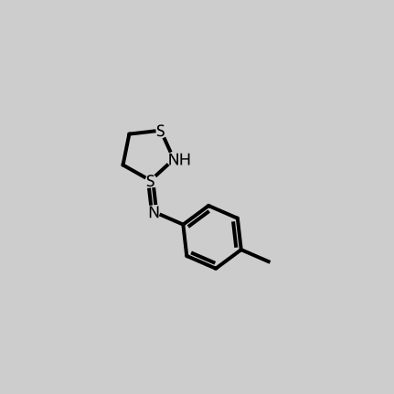 Cc1ccc(N=S2CCSN2)cc1